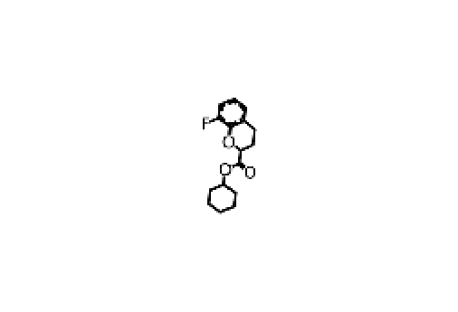 O=C(OC1CCCCC1)C1CCc2cccc(F)c2O1